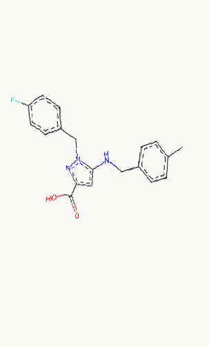 Cc1ccc(CNc2cc(C(=O)O)nn2Cc2ccc(F)cc2)cc1